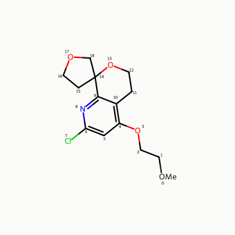 COCCOc1cc(Cl)nc2c1CCOC21CCOC1